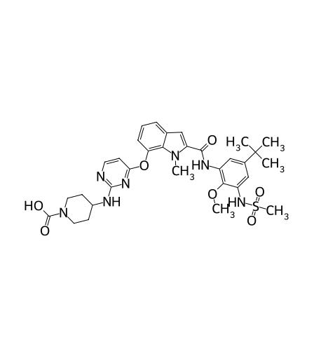 COc1c(NC(=O)c2cc3cccc(Oc4ccnc(NC5CCN(C(=O)O)CC5)n4)c3n2C)cc(C(C)(C)C)cc1NS(C)(=O)=O